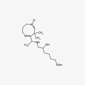 CCCCCCCCCCCCCCC(O)CNC(C)C1=NCCC[N+]([O-])=CC1(C)C